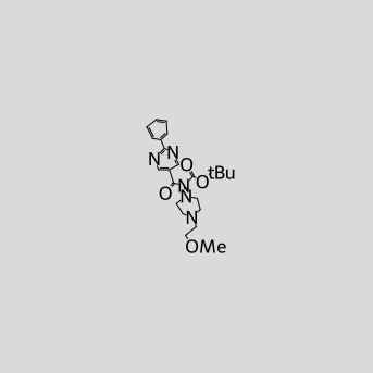 COCCN1CCN(N(C(=O)OC(C)(C)C)C(=O)c2cnc(-c3ccccc3)nc2)CC1